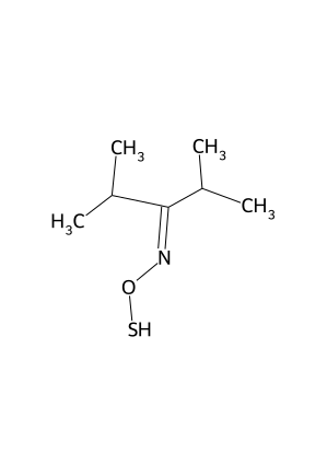 CC(C)C(=NOS)C(C)C